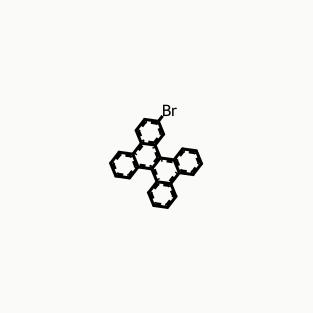 Brc1ccc2c3ccccc3c3c4ccccc4c4ccccc4c3c2c1